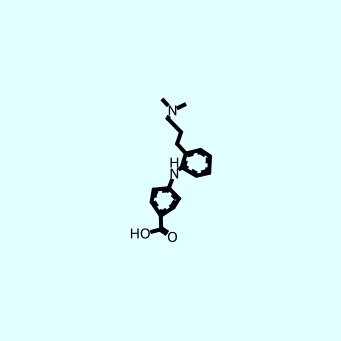 CN(C)CCCc1ccccc1Nc1ccc(C(=O)O)cc1